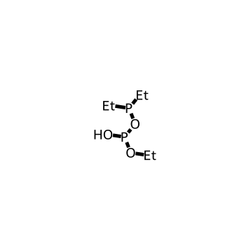 CCOP(O)OP(CC)CC